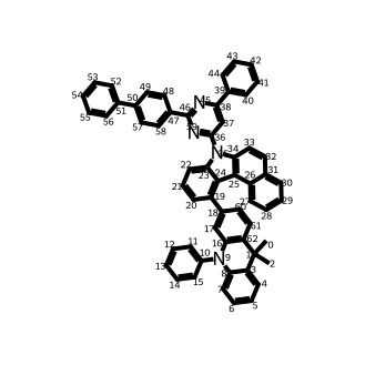 CC1(C)c2ccccc2N(c2ccccc2)c2cc(-c3cccc4c3c3c5ccccc5ccc3n4-c3cc(-c4ccccc4)nc(-c4ccc(-c5ccccc5)cc4)n3)ccc21